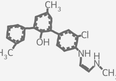 CN/C=C\Nc1ccc(-c2cc(C)cc(-c3cccc(C)c3)c2O)cc1Cl